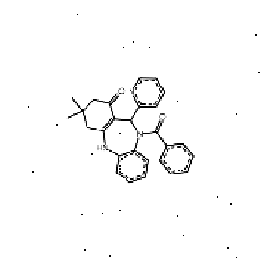 CC1(C)CC(=O)C2=C(C1)Nc1ccccc1N(C(=O)c1ccccc1)C2c1ccccn1